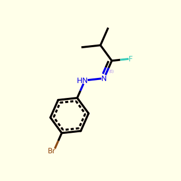 CC(C)/C(F)=N\Nc1ccc(Br)cc1